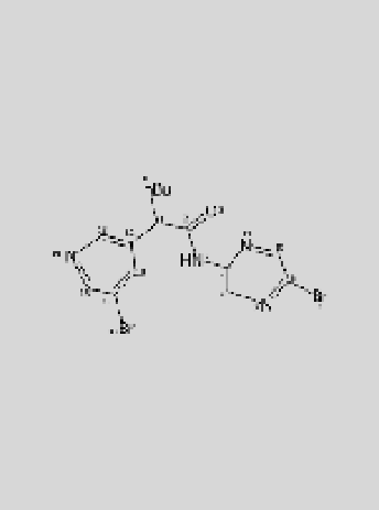 CCCCC(C(=O)Nc1cnc(Br)cn1)c1cncc(Br)c1